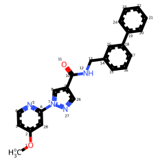 COc1ccnc(-n2cc(C(=O)NCc3cccc(-c4ccccc4)c3)cn2)c1